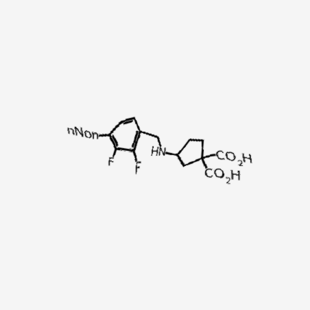 CCCCCCCCCc1ccc(CNC2CCC(C(=O)O)(C(=O)O)C2)c(F)c1F